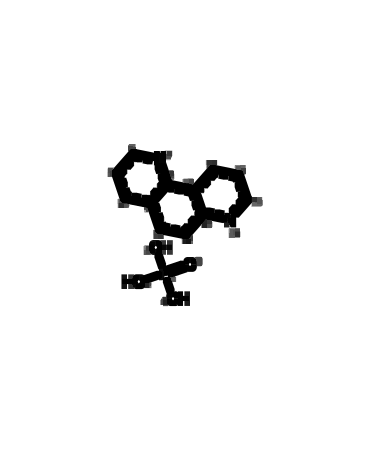 O=P(O)(O)O.c1cnc2c(c1)ccc1ncccc12